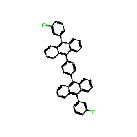 Clc1cccc(-c2c3ccccc3c(-c3ccc(-c4c5ccccc5c(-c5cccc(Cl)c5)c5ccccc45)cc3)c3ccccc23)c1